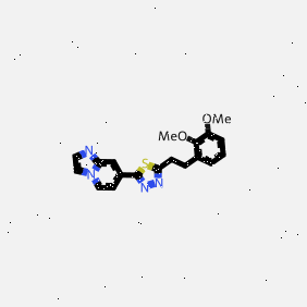 COc1cccc(CCc2nnc(-c3ccn4ccnc4c3)s2)c1OC